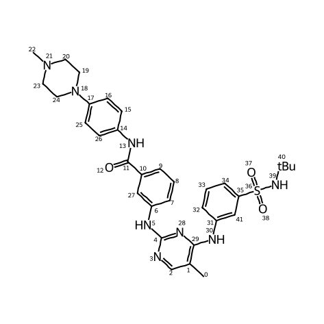 Cc1cnc(Nc2cccc(C(=O)Nc3ccc(N4CCN(C)CC4)cc3)c2)nc1Nc1cccc(S(=O)(=O)NC(C)(C)C)c1